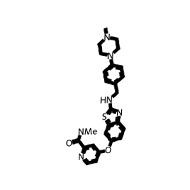 CNC(=O)c1cc(Oc2ccc3nc(NCc4ccc(N5CCN(C)CC5)cc4)sc3c2)ccn1